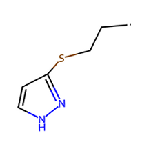 [CH2]CCSc1cc[nH]n1